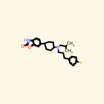 CC(C)CN(CCCc1ccc(F)cc1)C1CCC(c2ccc3[nH]c(=O)oc3c2)CC1